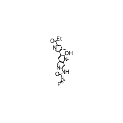 CCC(=O)c1cc(C)c(C2=Cc3cnc(NC(=O)[C@H]4C[C@H]4F)cc3N(C)C2O)cn1